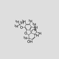 [2H]c1c([2H])c2c3c(c1OC([2H])([2H])[2H])OC1C([2H])(O)C=C[C@H]4[C@H](N(C)CC[C@]314)C2([2H])[2H]